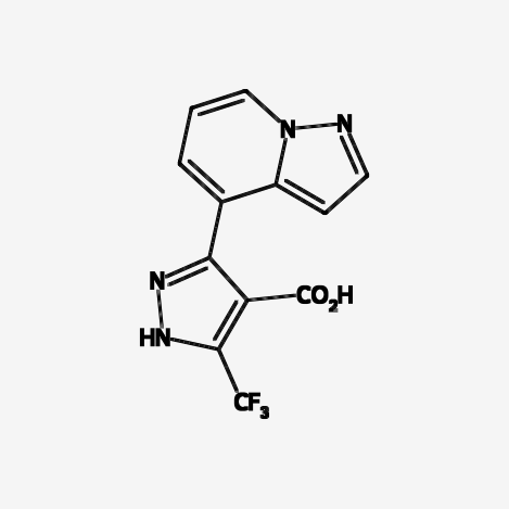 O=C(O)c1c(-c2cccn3nccc23)n[nH]c1C(F)(F)F